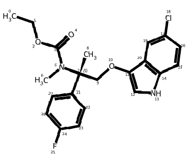 CCOC(=O)N(C)[C@](C)(COc1c[nH]c2ccc(Cl)cc12)c1ccc(F)cc1